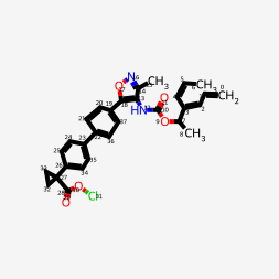 C=C/C=C(\C=C/C)C(C)OC(=O)Nc1c(C)noc1-c1ccc(-c2ccc(C3(C(=O)OCl)CC3)cc2)cc1